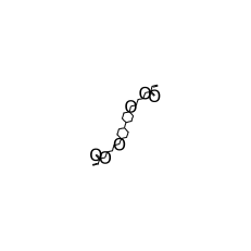 C=CC(=O)OCCCOC1CCC(C2CCC(OCCCOC(=O)C=C)CC2)CC1